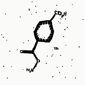 NOC(=O)c1ccc(C(=O)O)cc1.[Th]